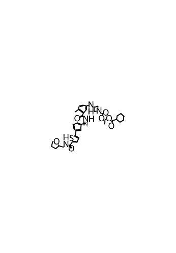 Cc1ccc(NC2CN(C(=O)OC(C)OC(=O)C3CCCCC3)C2)cc1C(=O)N[C@H](C)c1cccc(-c2ccc(C(=O)NCC3CCCO3)s2)c1